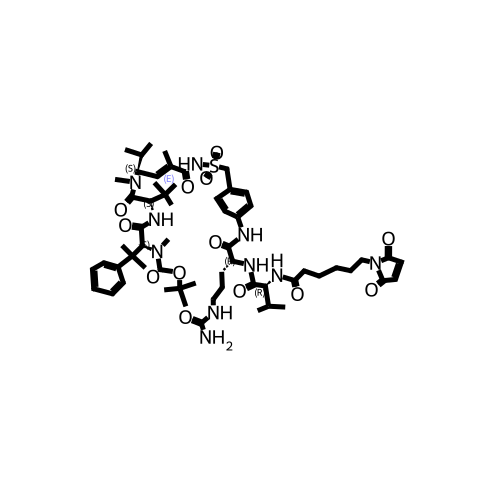 C/C(=C\[C@H](C(C)C)N(C)C(=O)[C@@H](NC(=O)[C@@H](N(C)C(=O)OC(C)(C)C)C(C)(C)c1ccccc1)C(C)(C)C)C(=O)NS(=O)(=O)Cc1ccc(NC(=O)[C@@H](CCCNC(N)=O)NC(=O)[C@H](NC(=O)CCCCCN2C(=O)C=CC2=O)C(C)C)cc1